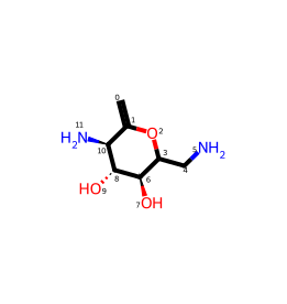 C=C1OC(CN)[C@@H](O)[C@H](O)[C@H]1N